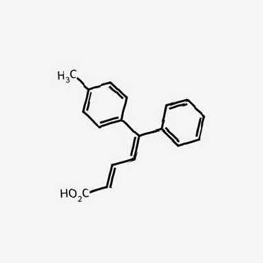 Cc1ccc(/C(=C\C=C\C(=O)O)c2ccccc2)cc1